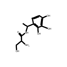 CC(NC(=O)C(N)CO)c1ccc(O)c(O)c1O